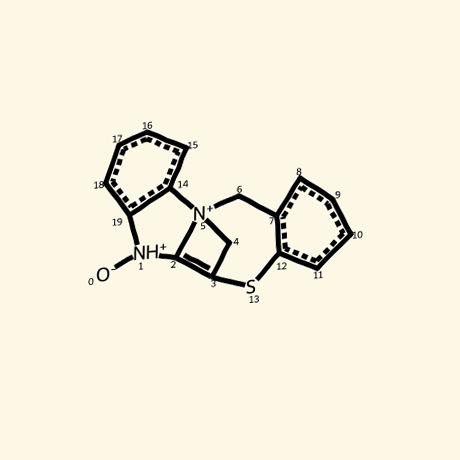 [O-][NH+]1C2=C3C[N+]2(Cc2ccccc2S3)c2ccccc21